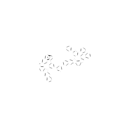 CC1(C)c2cc3ccccc3cc2-c2c1ccc1c3cc4ccccc4cc3n(-c3cc(-c4cncc(-c5ccc6cc7c(cc6c5)c5ccc6oc8c9ccccc9ccc8c6c5n7-c5cc(-c6ccccc6)nc(-c6ccccc6)n5)c4)cc(-c4ccccn4)c3)c21